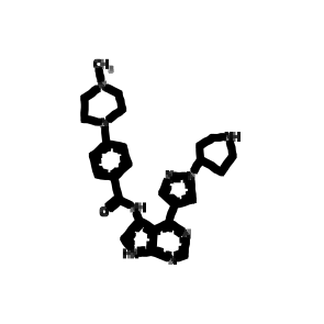 CN1CCN(c2ccc(C(=O)Nc3c[nH]c4ncnc(-c5cnn(C6CCNCC6)c5)c34)cc2)CC1